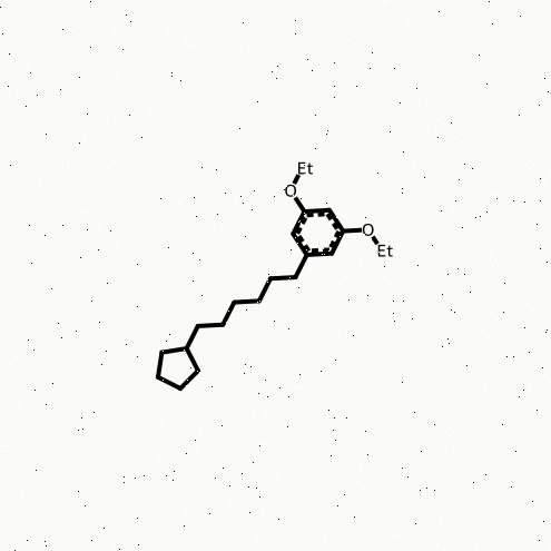 CCOc1cc(CCCCCCC2CCCC2)cc(OCC)c1